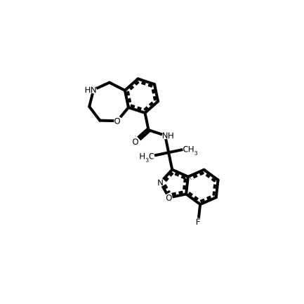 CC(C)(NC(=O)c1cccc2c1OCCNC2)c1noc2c(F)cccc12